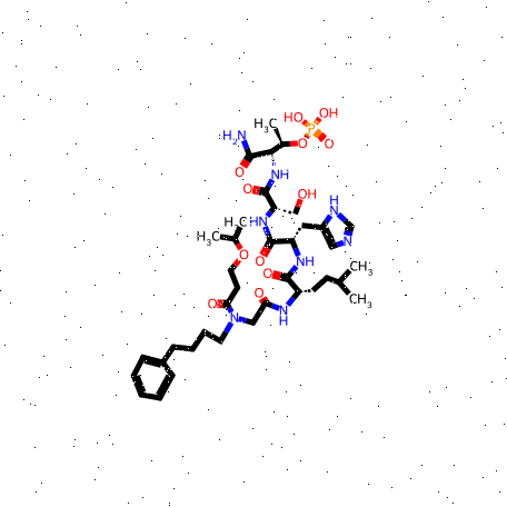 CC(C)CC[C@H](NC(=O)CN(CCCCc1ccccc1)C(=O)CCOC(C)C)C(=O)N[C@@H](Cc1cnc[nH]1)C(=O)N[C@@H](CO)C(=O)N[C@H](C(N)=O)[C@@H](C)OP(=O)(O)O